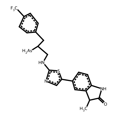 CC1C(=O)Nc2ccc(-c3cnc(NCC([AsH2])Cc4ccc(C(F)(F)F)cc4)s3)cc21